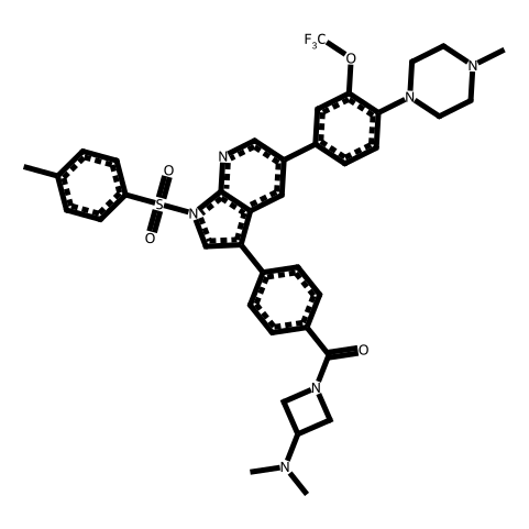 Cc1ccc(S(=O)(=O)n2cc(-c3ccc(C(=O)N4CC(N(C)C)C4)cc3)c3cc(-c4ccc(N5CCN(C)CC5)c(OC(F)(F)F)c4)cnc32)cc1